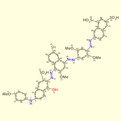 COc1ccc(Nc2ccc3c(O)c(N=Nc4c(OC)cc(N=Nc5cc(OC)c(N=Nc6ccc7cc(S(=O)(=O)O)cc(S(=O)(=O)O)c7c6)cc5OC)c5cc(S)ccc45)c(S(=O)(=O)O)cc3c2)cc1